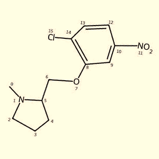 CN1CCCC1COc1cc([N+](=O)[O-])ccc1Cl